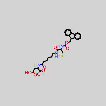 O=C(O)CC(NC(=O)CCCCCNC(=O)C(CS)NC(=O)OCC1c2ccccc2-c2ccccc21)C(=O)O